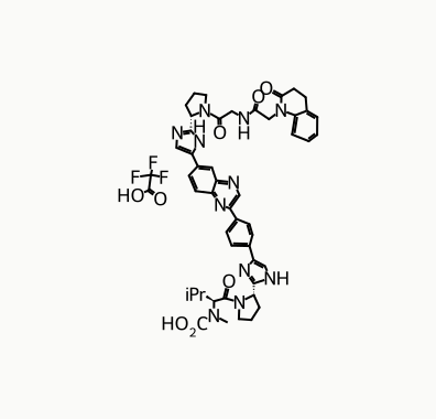 CC(C)[C@@H](C(=O)N1CCC[C@H]1c1nc(-c2ccc(-c3cnc4cc(-c5cnc([C@@H]6CCCN6C(=O)CNC(=O)CN6C(=O)CCc7ccccc76)[nH]5)ccc4n3)cc2)c[nH]1)N(C)C(=O)O.O=C(O)C(F)(F)F